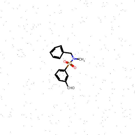 CN(Cc1ccccc1)S(=O)(=O)c1cccc(C=O)c1